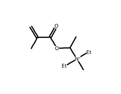 C=C(C)C(=O)OC(C)[N+](C)(CC)CC